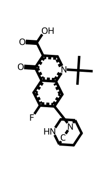 CC(C)(C)n1cc(C(=O)O)c(=O)c2cc(F)c(N3CC4CCC3CN4)cc21